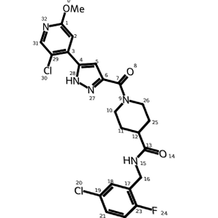 COc1cc(-c2cc(C(=O)N3CCC(C(=O)NCc4cc(Cl)ccc4F)CC3)n[nH]2)c(Cl)cn1